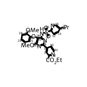 CCOC(=O)c1cc(-c2nc(NS(=O)(=O)c3ccc(C(C)C)cn3)c(Oc3ccccc3OC)c(OC)n2)ccn1